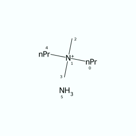 CCC[N+](C)(C)CCC.N